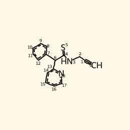 C#CCNC(=S)C(c1ccccc1)c1ccccn1